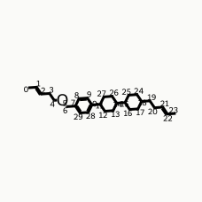 CC=CCCOCc1ccc(C2CCC(C3CCC(CC/C=C/C)CC3)CC2)cc1